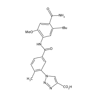 COc1cc(C(N)=O)c(C(C)(C)C)cc1NC(=O)c1ccc(C)c(-n2cc(C(=O)O)nn2)c1